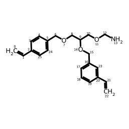 C=Cc1ccc(COCC(COCN)OCc2cccc(C=C)c2)cc1